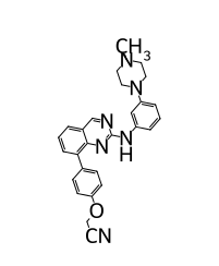 CN1CCN(c2cccc(Nc3ncc4cccc(-c5ccc(OCC#N)cc5)c4n3)c2)CC1